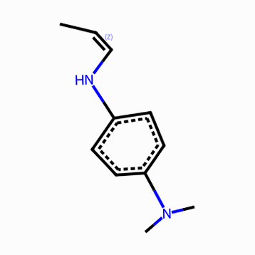 C/C=C\Nc1ccc(N(C)C)cc1